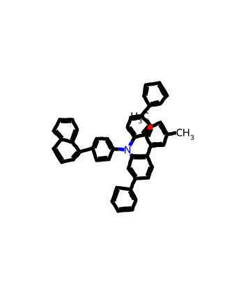 Cc1cc(C)cc(-c2ccc(-c3ccccc3)cc2N(c2ccc(-c3ccccc3)cc2)c2ccc(-c3cccc4ccccc34)cc2)c1